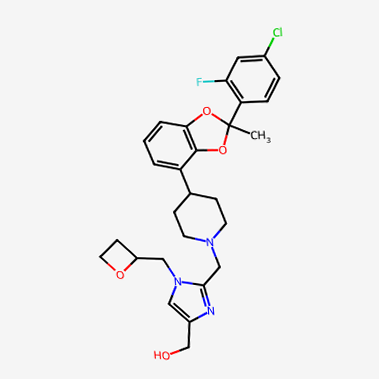 CC1(c2ccc(Cl)cc2F)Oc2cccc(C3CCN(Cc4nc(CO)cn4CC4CCO4)CC3)c2O1